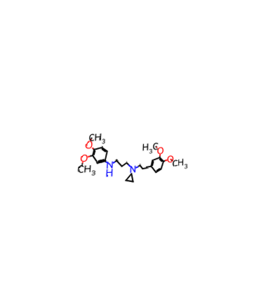 COc1ccc(CCN(CCCNc2ccc(OC)c(OC)c2)C2CC2)cc1OC